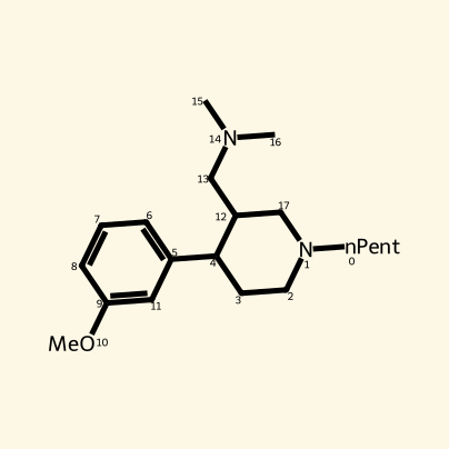 CCCCCN1CCC(c2cccc(OC)c2)C(CN(C)C)C1